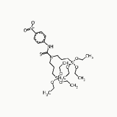 CCO[Si](CCCN(CCC[Si](OCC)(OCC)OCC)C(=S)Nc1ccc([N+](=O)[O-])cc1)(OCC)OCC